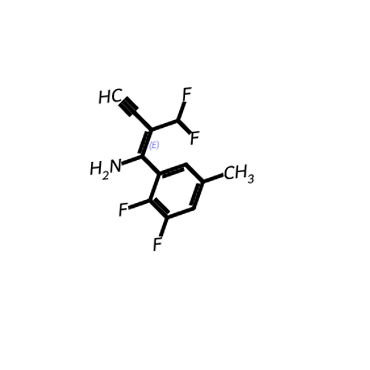 C#C/C(=C(\N)c1cc(C)cc(F)c1F)C(F)F